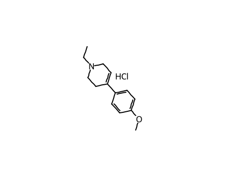 CCN1CC=C(c2ccc(OC)cc2)CC1.Cl